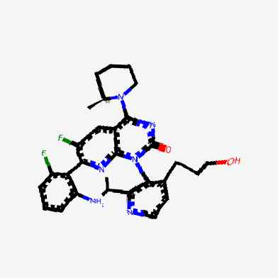 CC(C)c1nccc(CCCO)c1-n1c(=O)nc(N2CCCC[C@@H]2C)c2cc(F)c(-c3c(N)cccc3F)nc21